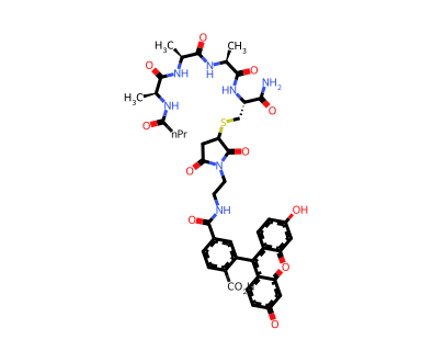 CCCC(=O)N[C@@H](C)C(=O)N[C@@H](C)C(=O)N[C@@H](C)C(=O)N[C@@H](CSC1CC(=O)N(CCNC(=O)c2ccc(C(=O)O)c(-c3c4ccc(=O)cc-4oc4cc(O)ccc34)c2)C1=O)C(N)=O